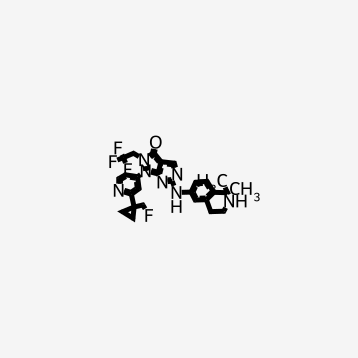 CC1(C)NCCc2cc(Nc3ncc4c(=O)n(CC(F)(F)F)n(-c5ccnc(C6(CF)CC6)c5)c4n3)ccc21